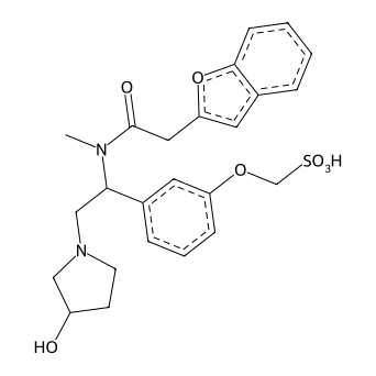 CN(C(=O)Cc1cc2ccccc2o1)C(CN1CCC(O)C1)c1cccc(OCS(=O)(=O)O)c1